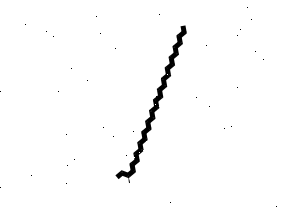 CCCCCCCCCCCCCCCCCCCCCCCCCCCC[C@H](C)CC